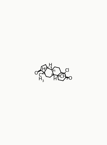 C[C@]12CCC(=O)C(Cl)=C1CC[C@@H]1[C@H]2CC[C@]2(C)C(=O)CC[C@@H]12